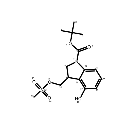 CC(C)(C)OC(=O)N1CC(COS(C)(=O)=O)c2c(O)cccc21